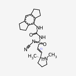 CN1CCC[C@@]1(C)/C=C/S(=O)(=NC#N)NC(=O)Nc1c2c(cc3c1CCC3)CCC2